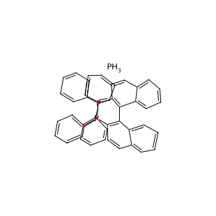 P.c1ccc(P(c2ccccc2)c2ccc3ccccc3c2-c2c(P(c3ccccc3)c3ccccc3)ccc3ccccc23)cc1